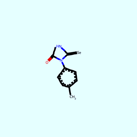 Cc1ccc(N2C(=O)CNC2=[Se])cc1